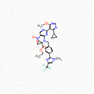 CCOC(=O)C1(N(Cc2ccc(-c3nc(C(F)(F)F)cn3C)cc2)c2nc(-c3c(OC)ncnc3C3CC3)ncc2[N+](=O)[O-])CC1